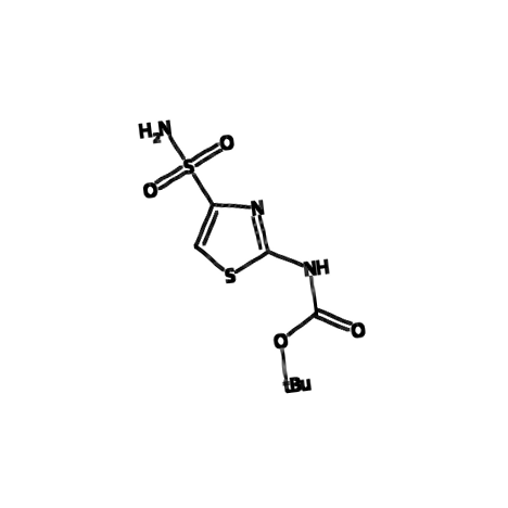 CC(C)(C)OC(=O)Nc1nc(S(N)(=O)=O)cs1